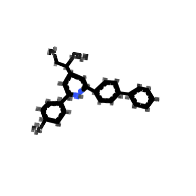 CC(C)CC(C(=O)O)c1cc(-c2ccc(-c3ccccc3)cc2)nc(-c2ccc(C(F)(F)F)cc2)c1